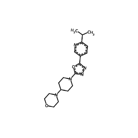 CC(C)c1ccc(-c2nnc(N3CCC(N4CCOCC4)CC3)o2)cn1